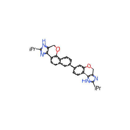 CC(C)c1nc2c([nH]1)COc1c-2ccc2cc(-c3ccc4c(c3)OCc3nc(C(C)C)[nH]c3-4)ccc12